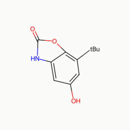 CC(C)(C)c1cc(O)cc2[nH]c(=O)oc12